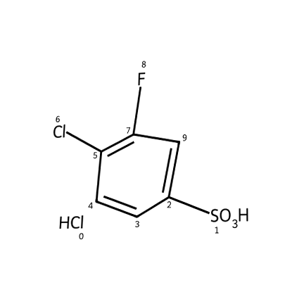 Cl.O=S(=O)(O)c1ccc(Cl)c(F)c1